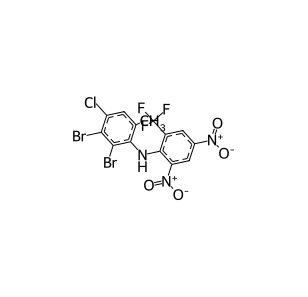 Cc1cc(Cl)c(Br)c(Br)c1Nc1c([N+](=O)[O-])cc([N+](=O)[O-])cc1C(F)(F)F